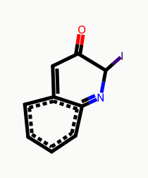 O=C1C=c2ccccc2=NC1I